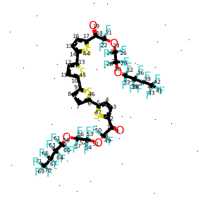 O=C(c1ccc(-c2ccc(-c3ccc(-c4ccc(C(=O)C(F)(F)OC(F)(F)C(F)(F)OC(F)(F)C(F)(F)C(F)(F)C(F)(F)F)s4)s3)s2)s1)C(F)(F)OC(F)(F)C(F)(F)OC(F)(F)C(F)(F)C(F)(F)C(F)(F)F